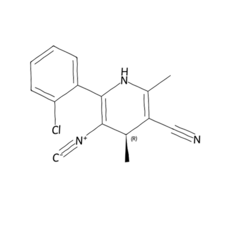 [C-]#[N+]C1=C(c2ccccc2Cl)NC(C)=C(C#N)[C@H]1C